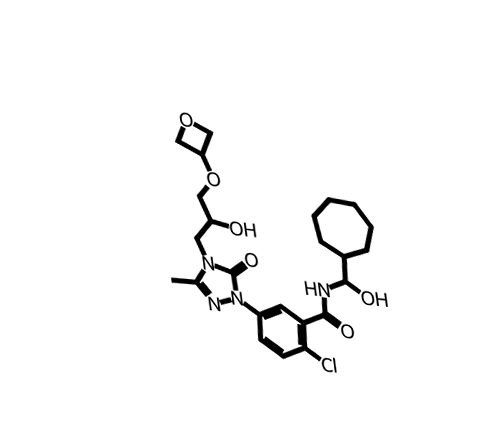 Cc1nn(-c2ccc(Cl)c(C(=O)NC(O)C3CCCCCC3)c2)c(=O)n1CC(O)COC1COC1